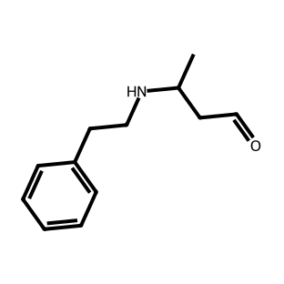 CC(CC=O)NCCc1ccccc1